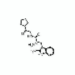 N[C@@H](Cc1c(C(F)(F)F)[nH]c2ccccc12)C(=O)NCC(=O)C1CCCC1